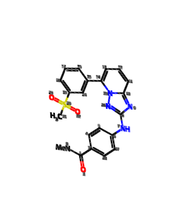 CNC(=O)c1ccc(Nc2nc3cccc(-c4cccc(S(C)(=O)=O)c4)n3n2)cc1